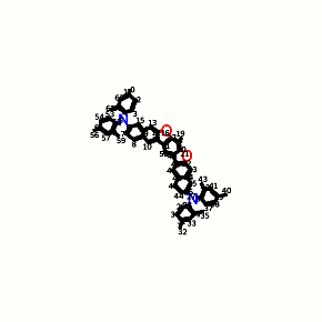 Cc1ccc(N(c2ccc3cc4c(cc3c2)oc2c(C)c3oc5cc6cc(N(c7ccc(C)cc7C)c7ccc(C)cc7C)ccc6cc5c3cc24)c2ccc(C)cc2C)c(C)c1